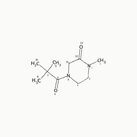 CN1CCN(C(=O)C(C)(C)C)CC1=O